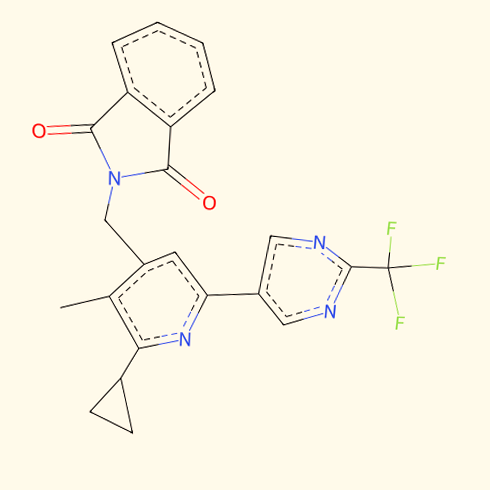 Cc1c(CN2C(=O)c3ccccc3C2=O)cc(-c2cnc(C(F)(F)F)nc2)nc1C1CC1